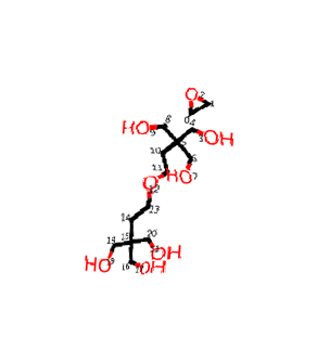 C1CO1.OCC(CO)(CO)CCOCCC(CO)(CO)CO